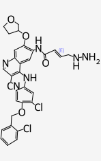 N#Cc1cnc2cc(OC3CCOC3)c(NC(=O)/C=C/CNN)cc2c1Nc1ccc(OCc2ccccc2Cl)c(Cl)c1